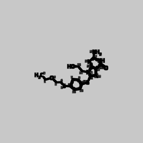 CCOCCSc1ccc(Sc2nc3c(=O)[nH]c(N)nc3n2CCO)cc1